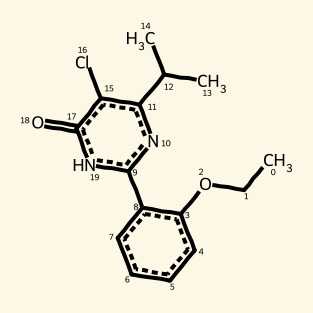 CCOc1ccccc1-c1nc(C(C)C)c(Cl)c(=O)[nH]1